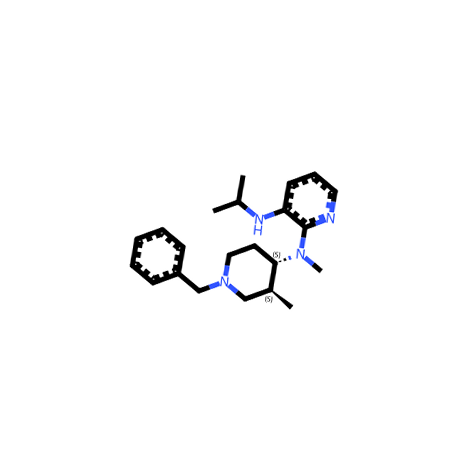 CC(C)Nc1cccnc1N(C)[C@H]1CCN(Cc2ccccc2)C[C@@H]1C